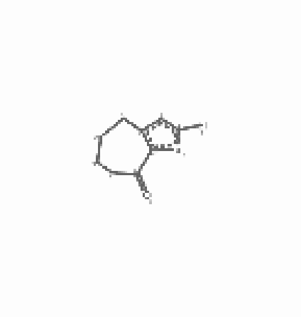 CCc1cc2c(s1)C(=O)CCCC2